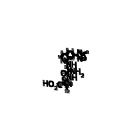 Cc1nc(-c2ccc3ccnc(NCC(N)C(=O)Nc4nc(C)c(C(=O)O)s4)c3c2)no1